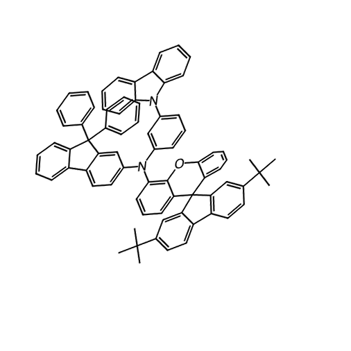 CC(C)(C)c1ccc2c(c1)C1(c3ccccc3Oc3c(N(c4cccc(-n5c6ccccc6c6ccccc65)c4)c4ccc5c(c4)C(c4ccccc4)(c4ccccc4)c4ccccc4-5)cccc31)c1cc(C(C)(C)C)ccc1-2